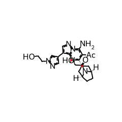 CC(=O)c1c([C@@H]2C[C@H]3CC[C@@H](C2)N3C(=O)CO)nc2c(-c3cnn(CCO)c3)cnn2c1N